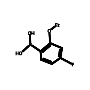 CCOc1cc(F)ccc1B(O)O